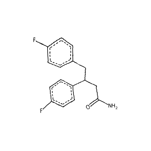 NC(=O)CC(Cc1ccc(F)cc1)c1ccc(F)cc1